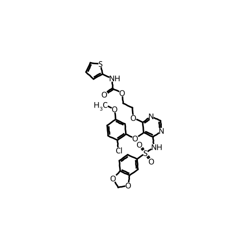 COc1ccc(Cl)c(Oc2c(NS(=O)(=O)c3ccc4c(c3)OCO4)ncnc2OCCOC(=O)Nc2cccs2)c1